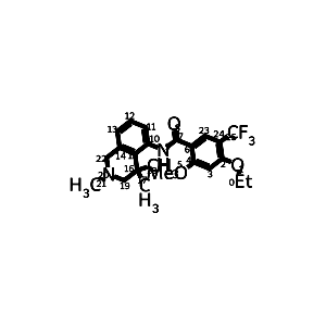 CCOc1cc(OC)c(C(=O)Nc2cccc3c2C(C)(C)CN(C)C3)cc1C(F)(F)F